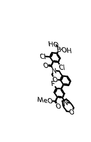 COC(=O)c1cc(F)c(-c2cccc3c2OCN(C(=O)c2c(Cl)cc(B(O)O)cc2Cl)C3)cc1N1C2CCC1COC2